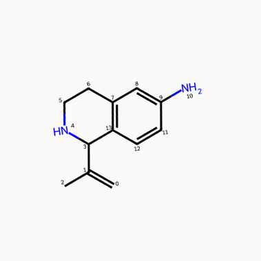 C=C(C)C1NCCc2cc(N)ccc21